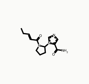 CCC=CC(=O)N1CCCC1n1cncc1C(N)=O